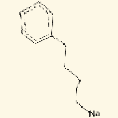 [Na][CH2]CCCc1ccccc1